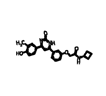 Cc1cc(-c2cc(-c3cccc(OCC(=O)NC4CCC4)c3)[nH]c(=O)n2)ccc1O